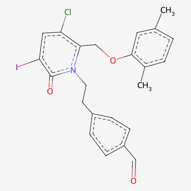 Cc1ccc(C)c(OCc2c(Cl)cc(I)c(=O)n2CCc2ccc(C=O)cc2)c1